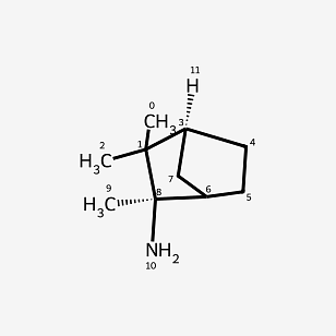 CC1(C)[C@H]2CCC(C2)[C@@]1(C)N